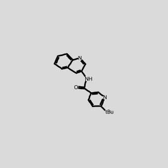 CC(C)(C)c1ccc(C(=O)Nc2cnc3ccccc3c2)cn1